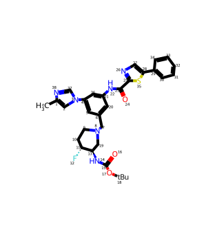 Cc1cn(-c2cc(CN3CC[C@@H](F)[C@H](NC(=O)OC(C)(C)C)C3)cc(NC(=O)c3ncc(-c4ccccc4)s3)c2)cn1